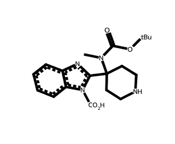 CN(C(=O)OC(C)(C)C)C1(c2nc3ccccc3n2C(=O)O)CCNCC1